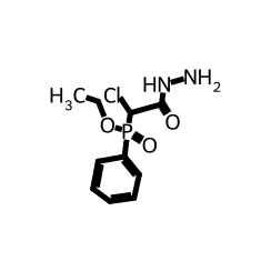 CCOP(=O)(c1ccccc1)C(Cl)C(=O)NN